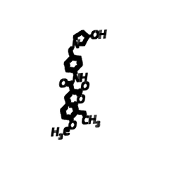 CCc1c(OC)ccc2cc(C(=O)Nc3ccc(CN4CC[C@@H](O)C4)cc3)c(=O)oc12